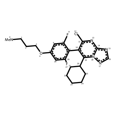 CNCCCOc1cc(F)c(-c2c(Cl)nc3ncnn3c2C2CCCCC2)c(F)c1